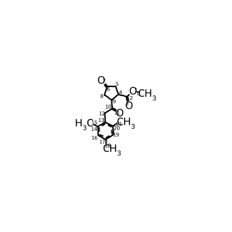 COC(=O)C1CC(=O)CC1C(=O)Cc1c(C)cc(C)cc1C